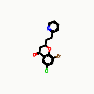 O=C1CC(CCc2ccccn2)Oc2c(Br)cc(Cl)cc21